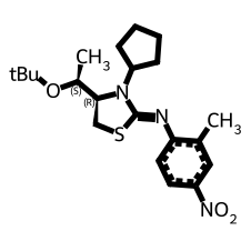 Cc1cc([N+](=O)[O-])ccc1N=C1SC[C@@H]([C@H](C)OC(C)(C)C)N1C1CCCC1